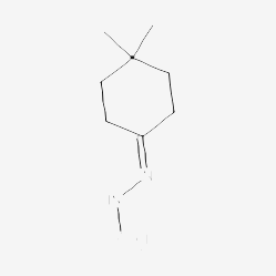 CC1(C)CCC(=NNC(=O)O)CC1